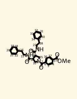 COC(=O)c1ccc(C(=O)N2C[C@@H](C(=O)NCCc3ccccc3)[C@H](C(=O)NCCc3ccccc3)C2)cc1